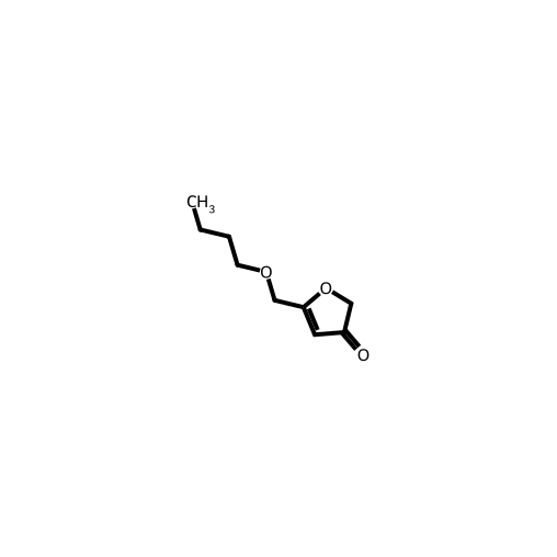 CCCCOCC1=CC(=O)CO1